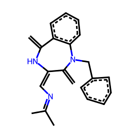 C=C1N/C(=C/N=C(C)C)C(=C)N(Cc2ccccc2)c2ccccc21